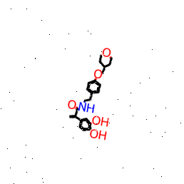 C=C(C(=O)NCCc1ccc(OCC2CCOCC2)cc1)c1ccc(O)c(O)c1